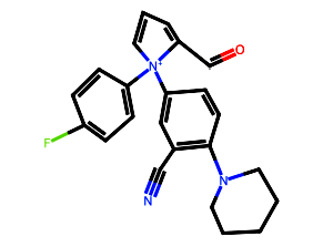 N#Cc1cc([N+]2(c3ccc(F)cc3)C=CC=C2[C]=O)ccc1N1CCCCC1